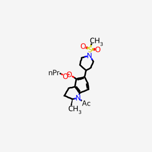 CCCOOc1c(C2CCN(S(C)(=O)=O)CC2)ccc2c1CC[C@H](C)N2C(C)=O